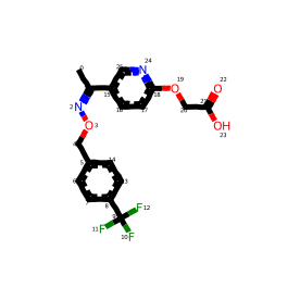 CC(=NOCc1ccc(C(F)(F)F)cc1)c1ccc(OCC(=O)O)nc1